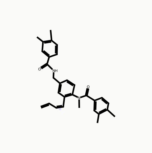 C=C/C=C\c1cc(CNC(=O)c2ccc(C)c(C)c2)ccc1N(C)C(=O)c1ccc(C)c(C)c1